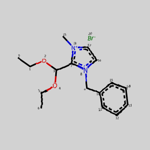 CCOC(OCC)c1n(Cc2ccccc2)cc[n+]1C.[Br-]